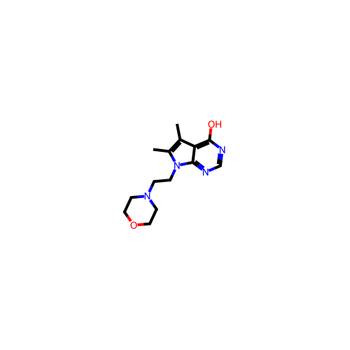 Cc1c(C)n(CCN2CCOCC2)c2ncnc(O)c12